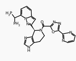 O=C(c1nnc(-c2ncccn2)o1)N1CCc2[nH]cnc2[C@H]1c1cc2cccc(C(P)P)n2n1